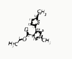 CCOC(=O)c1nn(C)cc1-c1ccc(C)s1